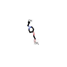 C#CCN1CCC(OCCOC)CC1